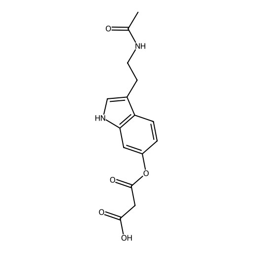 CC(=O)NCCc1c[nH]c2cc(OC(=O)CC(=O)O)ccc12